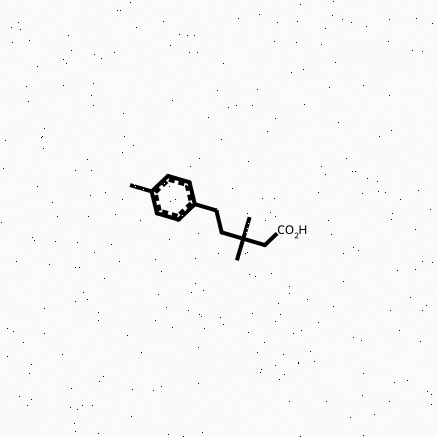 Cc1ccc(CCC(C)(C)CC(=O)O)cc1